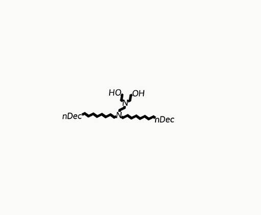 CCCCCCCCCCCCCCCCCCN(CCCCCCCCCCCCCCCCCC)CCN(CCO)CCO